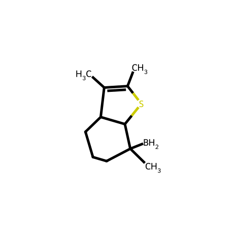 BC1(C)CCCC2C(C)=C(C)SC21